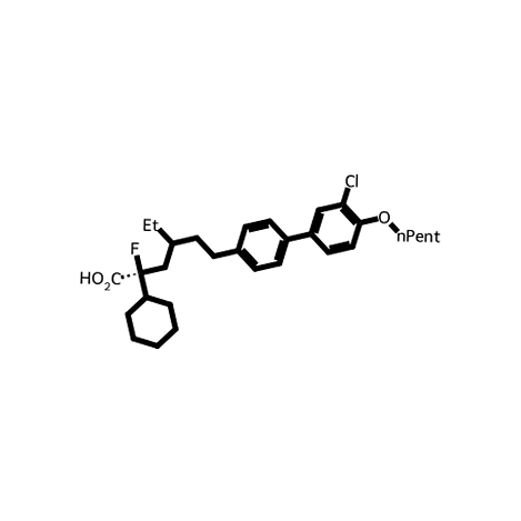 CCCCCOc1ccc(-c2ccc(CCC(CC)C[C@@](F)(C(=O)O)C3CCCCC3)cc2)cc1Cl